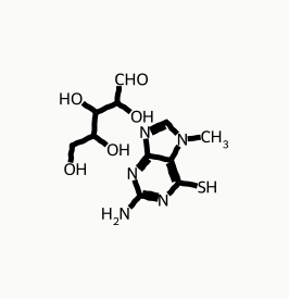 Cn1cnc2nc(N)nc(S)c21.O=CC(O)C(O)C(O)CO